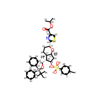 Cc1ccc(S(=O)(=O)O[C@@H]2C[C@@H]3O[C@@H](c4nc(C(=O)OC(C)C)cs4)CC[C@@H]3[C@H]2CO[Si](c2ccccc2)(c2ccccc2)C(C)(C)C)cc1